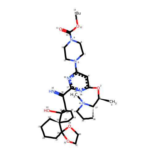 C[C@H](Oc1cc(N2CCN(C(=O)OC(C)(C)C)CC2)nc(C(=N)C2=C(O)[C@]3(CCCCC34OCCO4)CCC2)n1)[C@@H]1CCCN1C